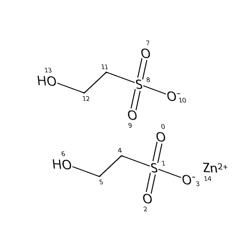 O=S(=O)([O-])CCO.O=S(=O)([O-])CCO.[Zn+2]